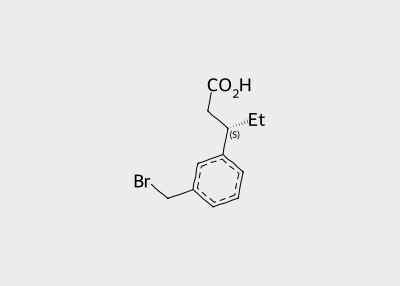 CC[C@@H](CC(=O)O)c1cccc(CBr)c1